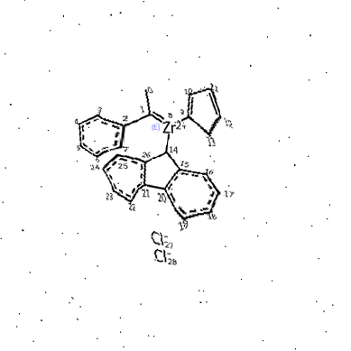 C/[C](c1ccccc1)=[Zr+2](\[C]1=CC=CC1)[CH]1c2ccccc2-c2ccccc21.[Cl-].[Cl-]